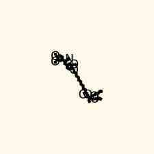 C=CCCOCC(CC)(COCC=C)COC(=O)CCCCCCCCCCOc1ccc(/C=C(\C#N)c2ccc(OC)c(OC)c2)cc1OC